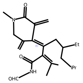 C=C1CN(C)C(=O)C(=C)/C1=C(\CC(CC)CC(C)C)C(C(=O)NC=O)=C(C)C